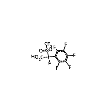 O=C(O)C(F)(c1c(F)c(F)c(F)c(F)c1F)S(=O)(=O)C(F)(F)F